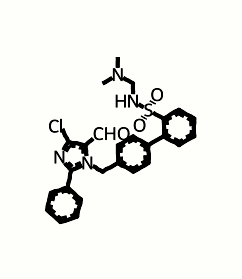 CN(C)CNS(=O)(=O)c1ccccc1-c1ccc(Cn2c(-c3ccccc3)nc(Cl)c2C=O)cc1